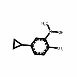 Cc1ccc(C2CC2)cc1N(C)O